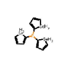 C1=C[SeH2]C(P(C2=CC=C[SeH2]2)C2=CC=C[SeH2]2)=C1